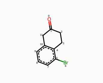 O=C1CCc2c(Br)cccc2C1